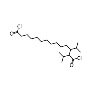 CC(C)C(CCCCCCCCCCC(=O)Cl)C(C(=O)Cl)C(C)C